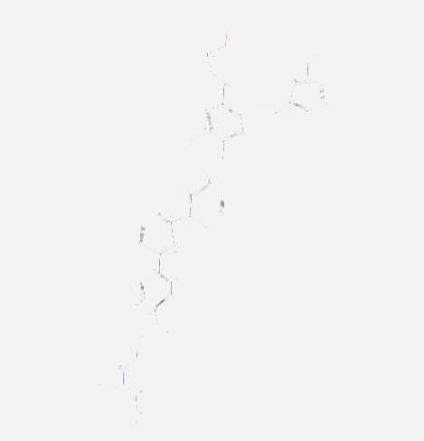 Cc1c(OCc2cc(OCc3cncc(C#N)c3)c(CNC(CO)C(=O)O)cc2Cl)cccc1-c1cccc(-c2ccc(OCCNC(C)CO)cc2)c1C